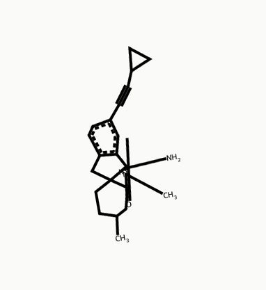 CC1CCC2(CC1)Cc1ccc(C#CC3CC3)cc1C21N=C(N)N(C)C1=O